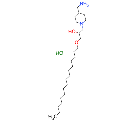 CCCCCCCCCCCCCCCCOCC(O)CN1CCC(CN)CC1.Cl